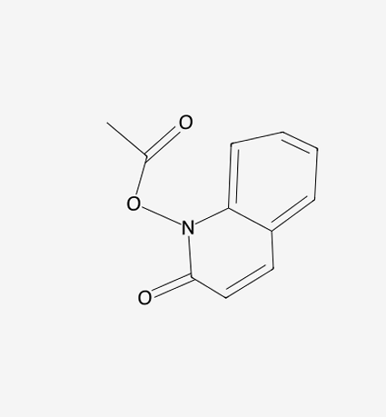 CC(=O)On1c(=O)ccc2ccccc21